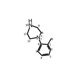 Cc1ccccc1[N+]1CCNCC1